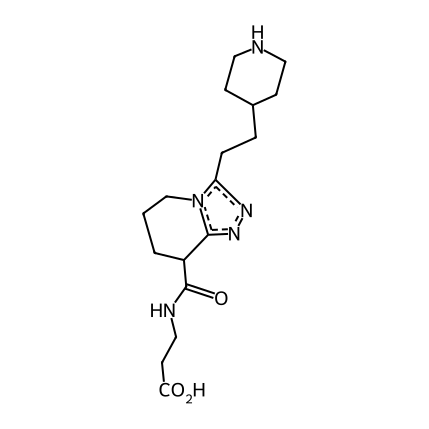 O=C(O)CCNC(=O)C1CCCn2c(CCC3CCNCC3)nnc21